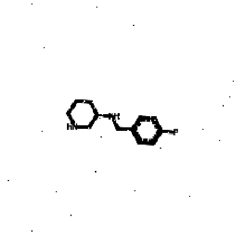 Fc1ccc(CN[C@@H]2CCCNC2)cc1